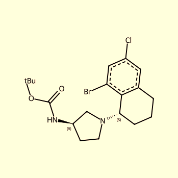 CC(C)(C)OC(=O)N[C@@H]1CCN([C@H]2CCCc3cc(Cl)cc(Br)c32)C1